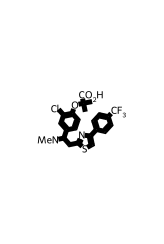 CNC(Cc1nc(-c2ccc(C(F)(F)F)cc2)cs1)c1ccc(OC(C)(C)C(=O)O)c(Cl)c1